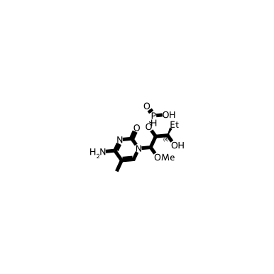 CC[C@@H](O)C(O[PH](=O)O)C(OC)n1cc(C)c(N)nc1=O